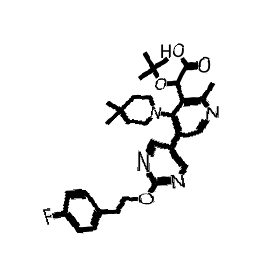 Cc1ncc(-c2cnc(OCCc3ccc(F)cc3)nc2)c(N2CCC(C)(C)CC2)c1C(OC(C)(C)C)C(=O)O